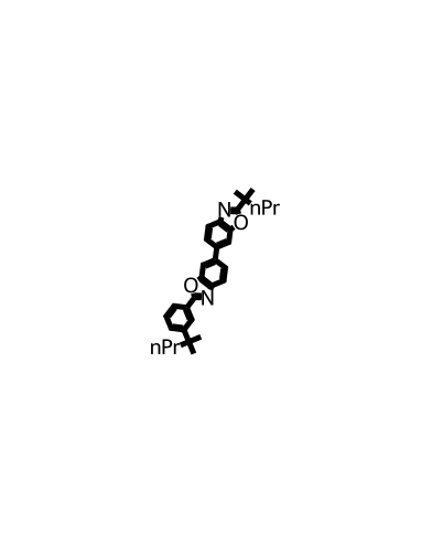 CCCC(C)(C)c1cccc(-c2nc3ccc(-c4ccc5nc(C(C)(C)CCC)oc5c4)cc3o2)c1